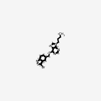 CCCCn1cnc2c(SCc3ccc4nsc(Br)c4c3)ncnc21